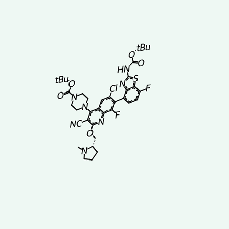 CN1CCC[C@H]1COc1nc2c(F)c(-c3ccc(F)c4sc(NC(=O)OC(C)(C)C)nc34)c(Cl)cc2c(N2CCN(C(=O)OC(C)(C)C)CC2)c1C#N